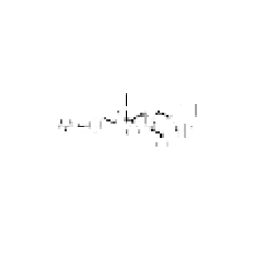 COCCNC(=O)CN(CCO)CC(=O)OC(C)(C)C